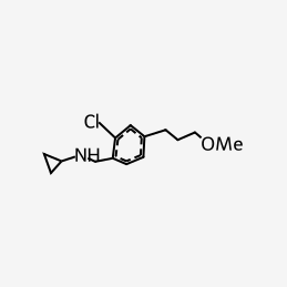 COCCCc1ccc(CNC2CC2)c(Cl)c1